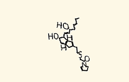 CCCCCC(O)C=C[C@H]1[C@@H]2CC(CCSCC(=O)N3CCCC3)C[C@H]2C[C@@H]1O